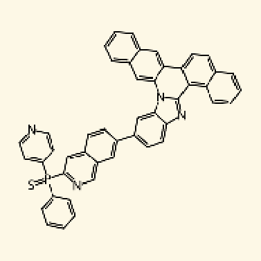 S=P(c1ccccc1)(c1ccncc1)c1cc2ccc(-c3ccc4nc5c6c7ccccc7ccc6c6cc7ccccc7cc6n5c4c3)cc2cn1